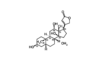 C[C@]12CC[C@H](O)C[C@H]1CC[C@@H]1[C@@H]2C[C@@H](O)[C@]2(C)[C@@H](C3=CC(=O)OC3)CC[C@]12O.O